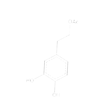 CC(=O)OCCc1ccc(O)c(O)c1